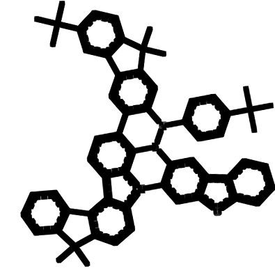 CC(C)(C)c1ccc(N2B3c4cc5c(cc4-n4c6ccc7c(c6c6ccc(c3c64)-c3cc4c(cc32)C(C)(C)c2ccc(C(C)(C)C)cc2-4)-c2ccccc2C7(C)C)oc2ccccc25)cc1